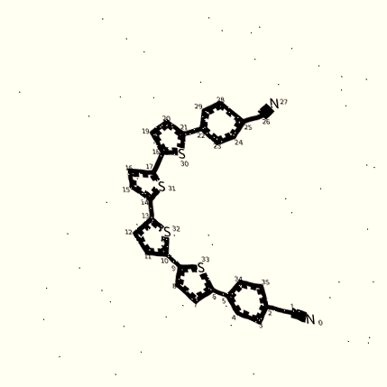 N#Cc1ccc(-c2ccc(-c3ccc(-c4ccc(-c5ccc(-c6ccc(C#N)cc6)s5)s4)s3)s2)cc1